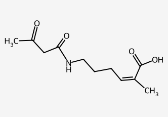 CC(=O)CC(=O)NCCCC=C(C)C(=O)O